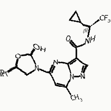 Cc1cc(N2CC(C(C)C)OC2O)nc2c(C(=O)N[C@@H](C3CC3)C(F)(F)F)cnn12